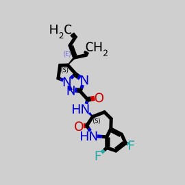 C=C/C=C(\C=C)[C@@H]1CCn2nc(C(=O)N[C@H]3CCc4cc(F)cc(F)c4NC3=O)nc21